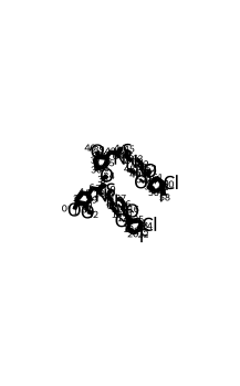 COc1ccc(Cc2csc(N3CCN(S(=O)(=O)c4ccc(F)c(Cl)c4)CC3)n2)cc1OC.COc1ccc(OC)c(Cc2csc(N3CCN(S(=O)(=O)c4ccc(F)c(Cl)c4)CC3)n2)c1